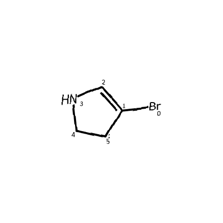 BrC1=CNC[C]1